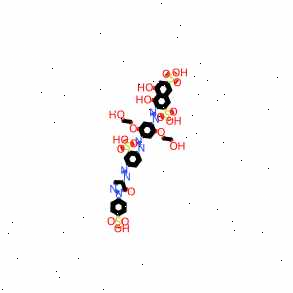 O=C1C(/N=N/c2ccc(/N=N/c3cc(OCCO)c(/N=N/c4c(S(=O)(=O)O)cc5cc(S(=O)(=O)O)cc(O)c5c4O)cc3OCCO)c(S(=O)(=O)O)c2)C=NN1c1ccc(S(=O)(=O)O)cc1